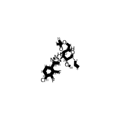 C=CC[C@H]1O[C@@H]2COC(C)(C)O[C@@H]2[C@H](n2cc(-c3ccc(Cl)c(F)c3F)nn2)[C@H]1OC